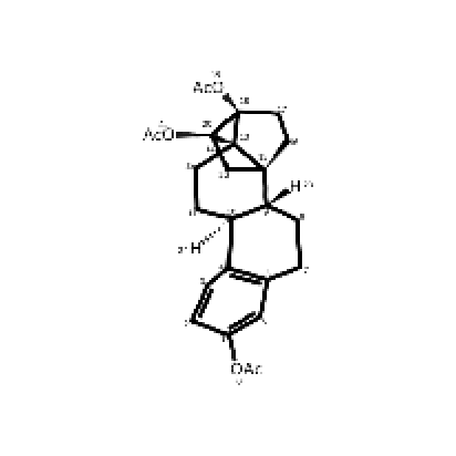 CC(=O)Oc1ccc2c(c1)CC[C@@H]1[C@@H]2CC[C@@]2(C)[C@]13CC[C@@]2(OC(C)=O)[C@H](OC(C)=O)C3